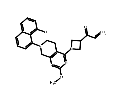 C=CC(=O)C1CN(c2nc(OC)nc3c2CCN(c2cccc4cccc(Cl)c24)C3)C1